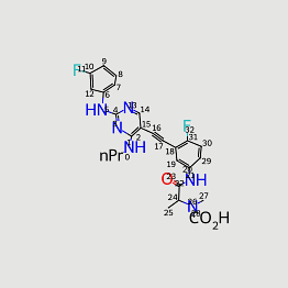 CCCNc1nc(Nc2cccc(F)c2)ncc1C#Cc1cc(NC(=O)C(C)N(C)C(=O)O)ccc1F